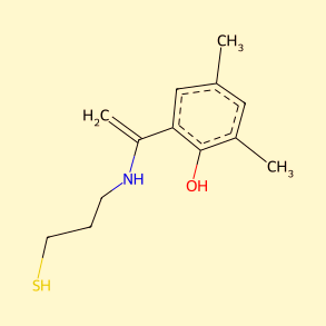 C=C(NCCCS)c1cc(C)cc(C)c1O